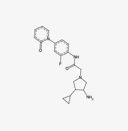 NC1CN(CC(=O)Nc2ccc(-n3ccccc3=O)cc2F)CC1C1CC1